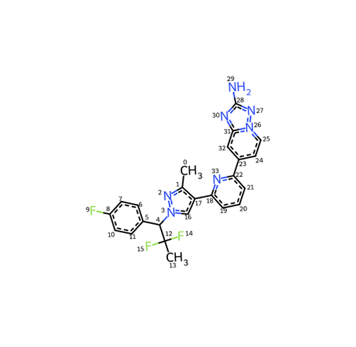 Cc1nn(C(c2ccc(F)cc2)C(C)(F)F)cc1-c1cccc(-c2ccn3nc(N)nc3c2)n1